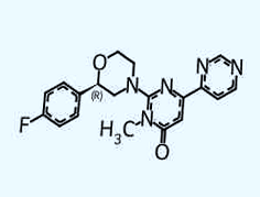 Cn1c(N2CCO[C@H](c3ccc(F)cc3)C2)nc(-c2ccncn2)cc1=O